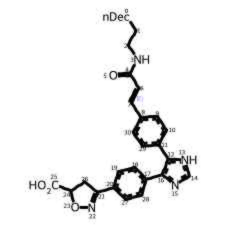 CCCCCCCCCCCCNC(=O)/C=C/c1ccc(-c2[nH]cnc2-c2ccc(C3=NOC(C(=O)O)C3)cc2)cc1